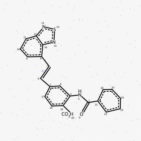 O=C(Nc1cc(/C=C/c2cccc3nsnc23)ccc1C(=O)O)c1ccccc1